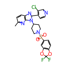 Cc1ccc2nc(-c3ccncc3Cl)n(C3CCN(S(=O)(=O)c4ccc5c(c4)OC(F)(F)O5)CC3)c2n1